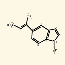 CCCn1ccc2cc(/C(C)=C/C(=O)O)ccc21